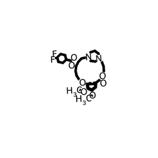 COc1cc2cc(c1OC)OCCCC(OC(=O)C1CCC(F)(F)CC1)CCN1CCCN(CCCOC2=O)CC1